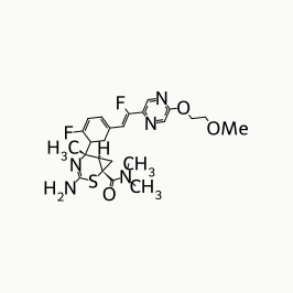 COCCOc1cnc(/C(F)=C/C2=CC=C(F)C([C@@]3(C)N=C(N)S[C@@]4(C(=O)N(C)C)C[C@H]43)C2)cn1